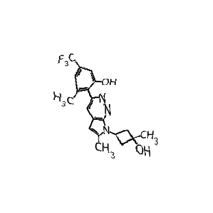 Cc1cc(C(F)(F)F)cc(O)c1-c1cc2cc(C)n(C3CC(C)(O)C3)c2nn1